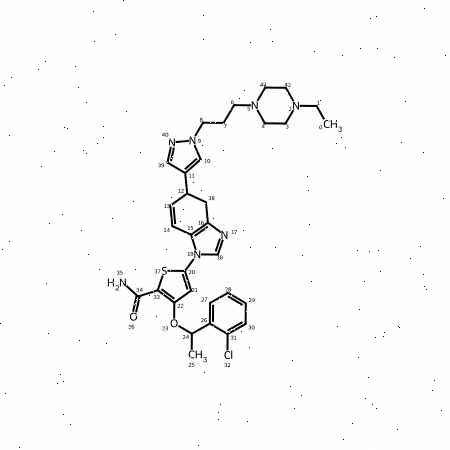 CCN1CCN(CCCn2cc(C3C=Cc4c(ncn4-c4cc(OC(C)c5ccccc5Cl)c(C(N)=O)s4)C3)cn2)CC1